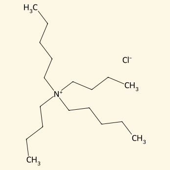 CCCCC[N+](CCCC)(CCCC)CCCCC.[Cl-]